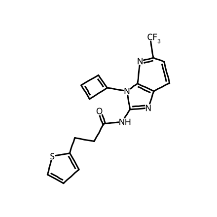 O=C(CCc1cccs1)Nc1nc2ccc(C(F)(F)F)nc2n1C1=CC=C1